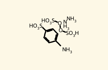 Cc1ccc(S(=O)(=O)O)cc1.N.N.N.O=S(=O)(O)OOS(=O)(=O)O